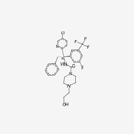 O=C(N[C@](Cc1ccccc1)(c1cc(F)cc(C(F)(F)F)c1)c1ccc(Cl)cn1)N1CCN(CCO)CC1